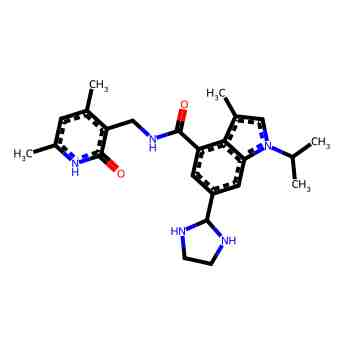 Cc1cc(C)c(CNC(=O)c2cc(C3NCCN3)cc3c2c(C)cn3C(C)C)c(=O)[nH]1